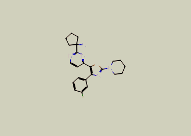 NC1(c2nccc(-c3sc(N4CCCCC4)nc3-c3cccc(Cl)c3)n2)CCCC1